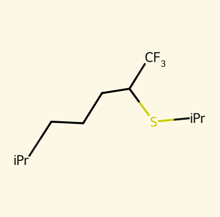 CC(C)CCCC(SC(C)C)C(F)(F)F